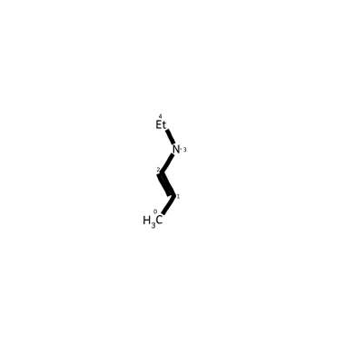 CC=C[N]CC